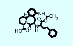 CCOC(=O)C(CCc1ccccc1)N[C@H]1Cc2c(N)cccc2[C@H]2CCC[C@@H](C(=O)O)N2C1=O